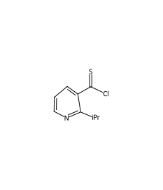 CC(C)c1ncccc1C(=S)Cl